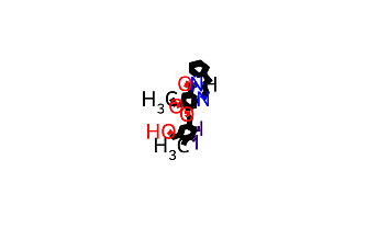 COc1cc2c(cc1OCc1cc(CO)c(C)c(I)c1I)N=C[C@@H]1Cc3ccccc3N1C2=O